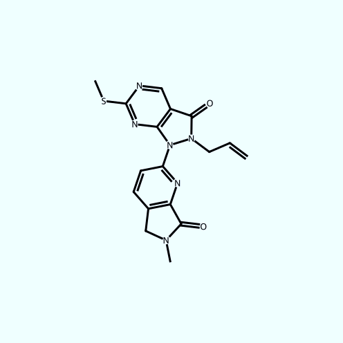 C=CCn1c(=O)c2cnc(SC)nc2n1-c1ccc2c(n1)C(=O)N(C)C2